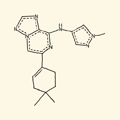 Cn1cc(Nc2nc(C3=CCC(C)(C)CC3)cn3ncnc23)cn1